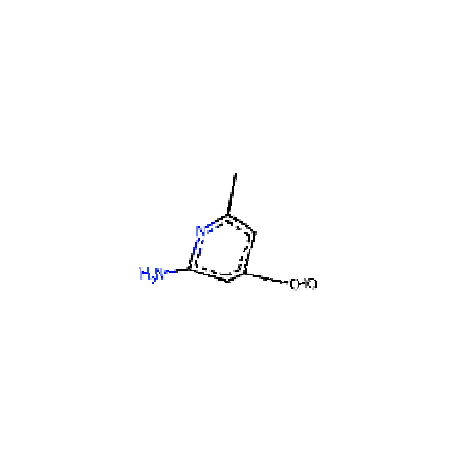 Cc1cc(C=O)cc(N)n1